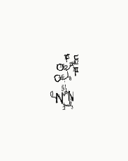 Cn1ccnc1C(=O)CC(=O)C(F)(F)F